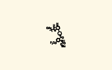 CC(=O)OC(C)(C)C1=NC2=C(C3CCN(C(=O)c4ccc(OC(F)(F)F)cc4NC(=O)OC(C)(C)C)CC3)C=CNC2N1